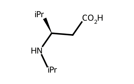 CC(C)N[C@H](CC(=O)O)C(C)C